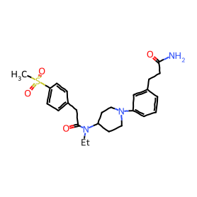 CCN(C(=O)Cc1ccc(S(C)(=O)=O)cc1)C1CCN(c2cccc(CCC(N)=O)c2)CC1